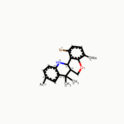 COc1ccc(Br)c2c1OCC1C2Nc2ccc(C(C)=O)cc2C1(C)C